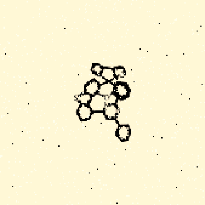 c1ccc(-c2cc(-c3cccc4sc5ccc6c(c5c34)Oc3ccccc3C63c4ccccc4-c4ccccc43)nc(-c3ccccc3)n2)cc1